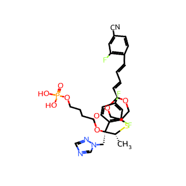 C[C@@H](S[C@H]1CO[C@H](/C=C/C=C/c2ccc(C#N)cc2F)OC1)[C@@](Cn1cncn1)(OC(=O)CCCOP(=O)(O)O)c1ccc(F)cc1F